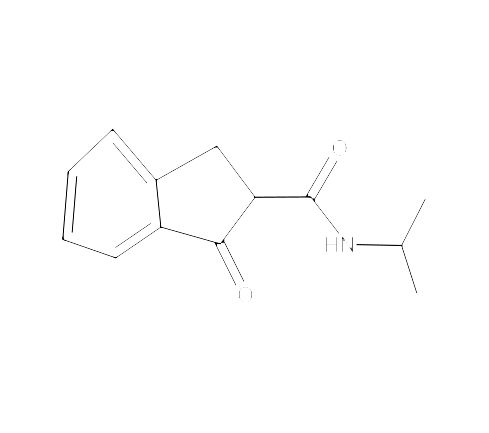 CC(C)NC(=O)C1Cc2ccccc2C1=O